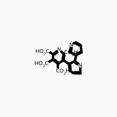 O=C(O)c1nc(C(=O)O)c(-c2cccnc2-c2cccnc2)c(C(=O)O)c1C(=O)O